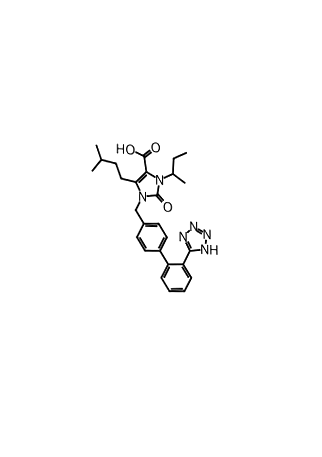 CCC(C)n1c(C(=O)O)c(CCC(C)C)n(Cc2ccc(-c3ccccc3-c3nnn[nH]3)cc2)c1=O